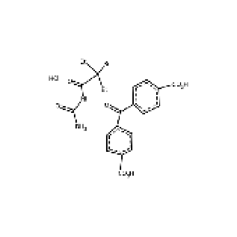 CCC(Br)(CC)C(=O)NC(N)=O.Cl.O=C(O)c1ccc(C(=O)c2ccc(C(=O)O)cc2)cc1